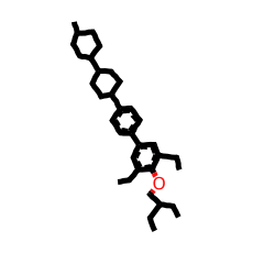 CCc1cc(-c2ccc(C3CCC(C4CCC(C)CC4)CC3)cc2)cc(CC)c1OCC(CC)CC